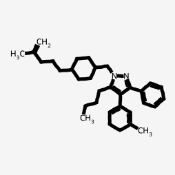 C=C(C)CCCC1CCC(Cn2nc(-c3ccccc3)c(C3=CCCC(C)=C3)c2CCCC)CC1